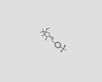 CC[C@@]12C[C@@H](OCc3ccc(C(C)(F)F)cc3)[C@@H](C)[C@]1(C)C2(C)C